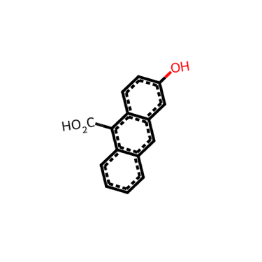 O=C(O)c1c2ccccc2cc2cc(O)ccc12